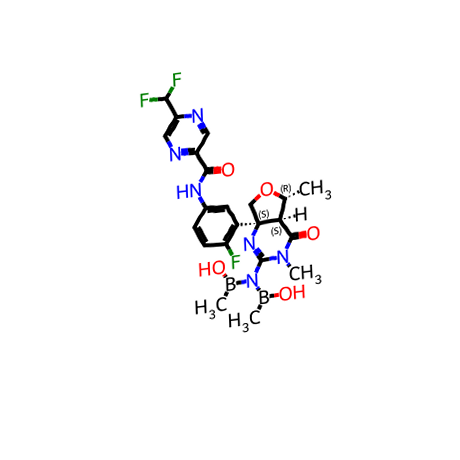 CB(O)N(B(C)O)C1=N[C@@]2(c3cc(NC(=O)c4cnc(C(F)F)cn4)ccc3F)CO[C@H](C)[C@H]2C(=O)N1C